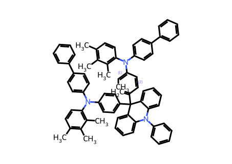 C=C(/C=C\C(=C/C)N(c1ccc(-c2ccccc2)cc1)c1ccc(C)c(C)c1C)C1(c2ccc(N(c3ccc(-c4ccccc4)cc3)c3ccc(C)c(C)c3C)cc2)c2ccccc2N(c2ccccc2)c2ccccc21